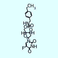 CCc1ccc(CN[P@@]2(=O)OC[C@H]3O[C@@H](n4cc(F)c(=O)[nH]c4=O)C[C@@H]3O2)cc1